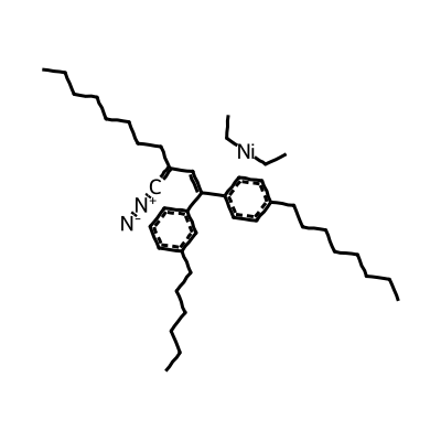 CCCCCCCCC(=C=[N+]=[N-])C=C(c1ccc(CCCCCCCC)cc1)c1cccc(CCCCCC)c1.C[CH2][Ni][CH2]C